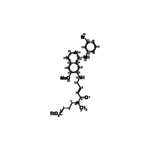 CCOC(=O)CCCN(C)C(=O)C=CCNc1cc2c(Nc3cccc(Br)c3)ncnc2cc1OC